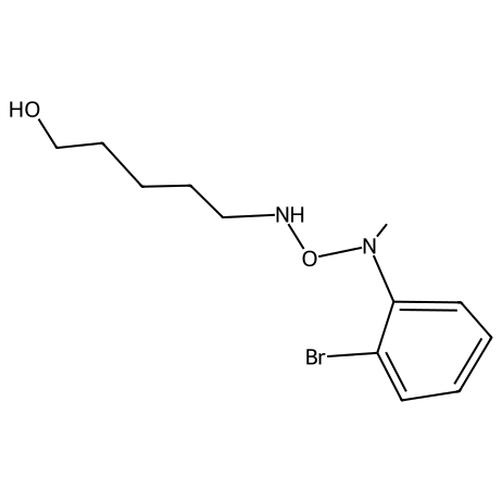 CN(ONCCCCCO)c1ccccc1Br